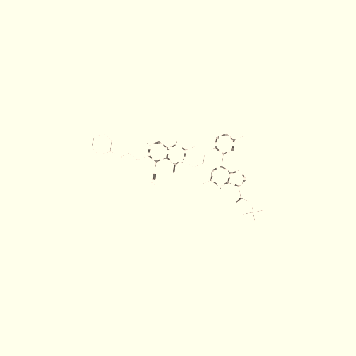 Cc1cc(-c2cc(Cl)ccc2OCCn2c(C)nc3cnc(CCOC4CCCCO4)c(C#N)c3c2=O)c2scc(C(=O)OC(C)(C)C)c2n1